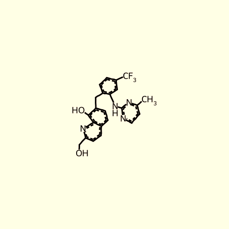 Cc1ccnc(Nc2cc(C(F)(F)F)ccc2Cc2ccc3ccc(CO)nc3c2O)n1